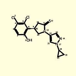 Oc1ccc(Cl)c(Cl)c1[C@H]1CC(=S)N(c2cnn(C3CC3)c2)C1